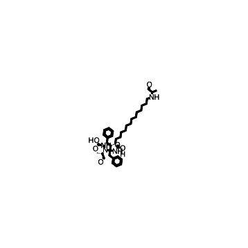 CC(C=O)NCCCCCCCCCCCCCC[C@@H](Cc1ccccc1)C(Cc1ccccc1)(NC(=O)O)N(NC(=O)O)[C@@H](C)C=O